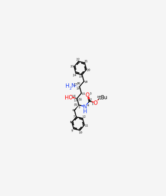 CC(C)(C)OC(=O)N[C@@H](Cc1ccccc1)[C@@H](O)C[C@H](N)Cc1ccccc1